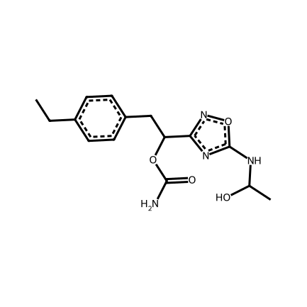 CCc1ccc(CC(OC(N)=O)c2noc(NC(C)O)n2)cc1